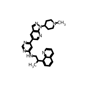 CC(CNc1cc(-c2cnc3c(cnn3C3CCN(C)CC3)c2)ncn1)c1cccc2cccnc12